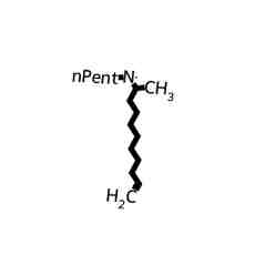 C=CCCCCCCCC(C)[N]CCCCC